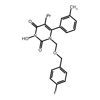 Cc1cccc(-c2c(C(C)C)c(=O)n(O)c(=O)n2COCc2ccc(F)cc2)c1